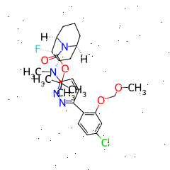 COCOc1cc(Cl)ccc1-c1ccc(N(C)[C@H]2C[C@@H]3CCC[C@H]([C@H]2F)N3C(=O)OC(C)(C)C)nn1